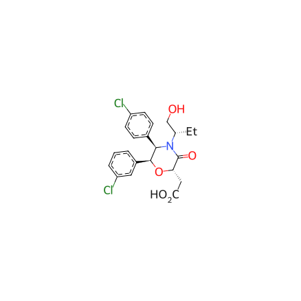 CC[C@@H](CO)N1C(=O)[C@H](CC(=O)O)O[C@@H](c2cccc(Cl)c2)[C@H]1c1ccc(Cl)cc1